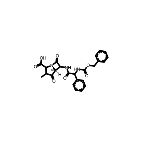 CC1C(=O)[C@@H]2C(NC(=O)C(NC(=O)OCc3ccccc3)c3ccccc3)C(=O)N2C1C(=O)O